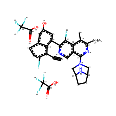 C#Cc1c(F)ccc2cc(O)cc(-c3ncc4c(N5CC6CCC(C5)N6)nc(NC(C)=O)c(C)c4c3F)c12.O=C(O)C(F)(F)F.O=C(O)C(F)(F)F